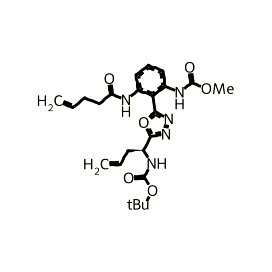 C=CCCC(=O)Nc1cccc(NC(=O)OC)c1-c1nnc([C@H](CC=C)NC(=O)OC(C)(C)C)o1